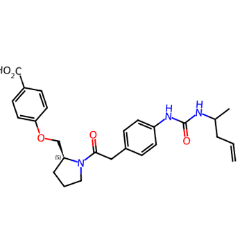 C=CCC(C)NC(=O)Nc1ccc(CC(=O)N2CCC[C@H]2COc2ccc(C(=O)O)cc2)cc1